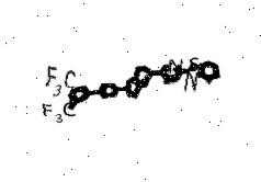 FC(F)(F)c1cc(-c2ccc(-c3ccc4cc(-c5ccc(-c6nc7ccccc7s6)nc5)ccc4c3)cc2)cc(C(F)(F)F)c1